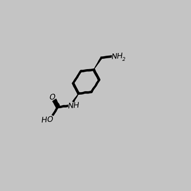 NC[C@H]1CC[C@@H](NC(=O)O)CC1